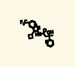 C[C@](O)(CC(=O)Nc1nn2ccc(C(F)(F)F)cc2c1C1CCC1)c1ccccn1